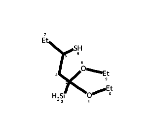 CCOC([SiH3])(CC(S)CC)OCC